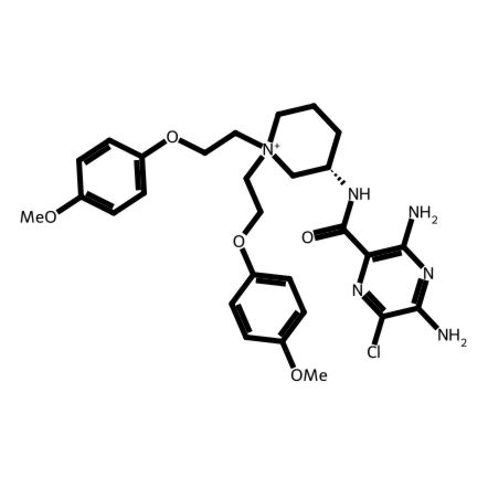 COc1ccc(OCC[N+]2(CCOc3ccc(OC)cc3)CCC[C@H](NC(=O)c3nc(Cl)c(N)nc3N)C2)cc1